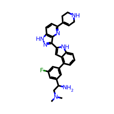 CN(C)CC(N)c1cc(F)cc(-c2cccc3[nH]c(-c4n[nH]c5ccc(C6=CCNCC6)nc45)cc23)c1